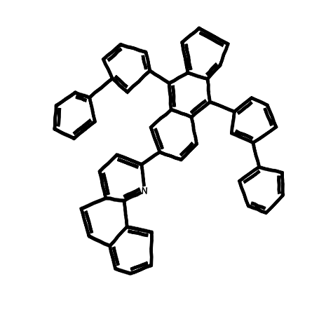 c1ccc(-c2cccc(-c3c4ccccc4c(-c4cccc(-c5ccccc5)c4)c4cc(-c5ccc6ccc7ccccc7c6n5)ccc34)c2)cc1